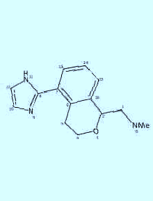 CNCC1OCCc2c(-c3ncc[nH]3)cccc21